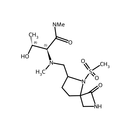 CNC(=O)[C@H]([C@@H](C)O)N(C)CC1CCC2(CNC2=O)N1S(C)(=O)=O